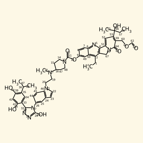 CCc1c2c(nc3ccc(OC(=O)N4CCC(N(C)CCn5ccc6cc(-n7c(O)nnc7-c7cc(C(C)C)c(O)cc7O)ccc65)CC4)cc13)-c1cc(C(C)(O)CC)c(COC=O)c(=O)n1C2